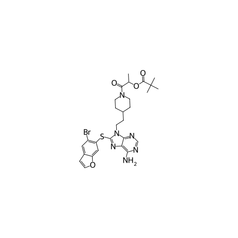 CC(OC(=O)C(C)(C)C)C(=O)N1CCC(CCn2c(Sc3cc4occc4cc3Br)nc3c(N)ncnc32)CC1